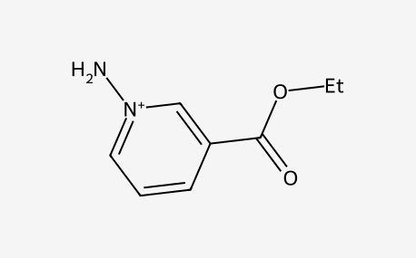 CCOC(=O)c1ccc[n+](N)c1